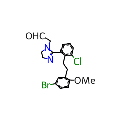 COc1ccc(Br)cc1CCc1c(Cl)cccc1C1=NCCN1CC=O